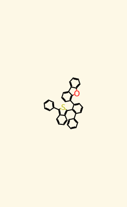 c1ccc(-c2cccc(-c3cccc4c3oc3ccccc34)c2-c2sc(-c3ccccc3)c3ccccc23)cc1